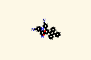 N#Cc1cc(-c2ccc(C#N)cc2-n2c3ccccc3c3cc(C#N)ccc32)cc(-c2c3ccccc3c(-c3ccccc3)c3ccccc23)c1